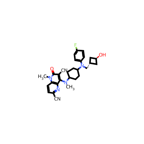 CN(c1c(C#N)c(=O)n(C)c2ccc(C#N)nc12)C1CCC(N(C[C@H]2C[C@H](O)C2)c2ccc(F)cc2)CC1